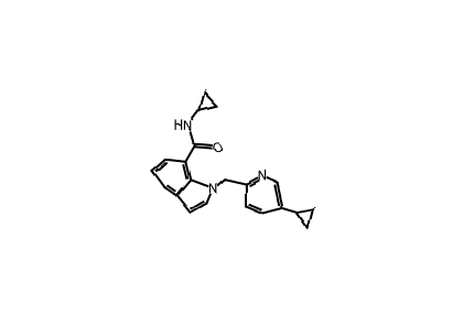 O=C(NC1[CH]C1)c1cccc2ccn(Cc3ccc(C4CC4)cn3)c12